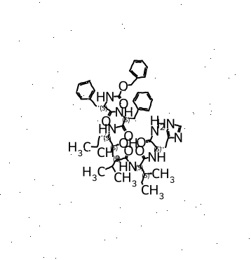 CC[C@H](C)[C@H](NC(=O)[C@@H](C[C@H](O)[C@H](CC(C)C)NC(=O)[C@H](Cc1ccccc1)NC(=O)[C@H](Cc1ccccc1)NC(=O)OCc1ccccc1)C(C)C)C(=O)N[C@@H](Cc1c[nH]cn1)C(N)=O